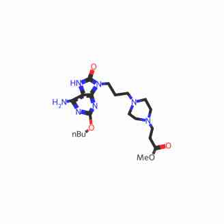 CCCCOc1nc(N)c2[nH]c(=O)n(CCCN3CCN(CCC(=O)OC)CC3)c2n1